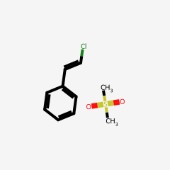 CS(C)(=O)=O.ClC=Cc1ccccc1